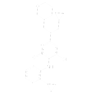 O=c1oc(C(CC2CC2)CC2CCCOC2)cc(O)c1Nc1ccccc1C1CC1